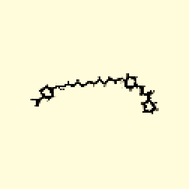 C=C(C)c1ccc(COCCCCCCCCCCOc2ccc(C=CC(=O)c3ccccc3)cc2)cc1